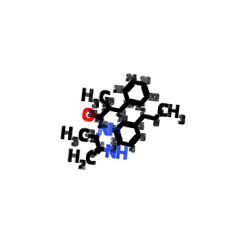 C=C(Nc1ccc(CCC)cc1)C(C)NC(=O)C(C)Cc1ccccc1